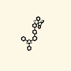 c1ccc(-c2nc(-c3ccccc3)nc(-c3cccc(-c4ccc(-c5ccc6c(c5)C5(c7ccccc7O6)c6ccccc6-c6ccccc65)cc4)c3)n2)cc1